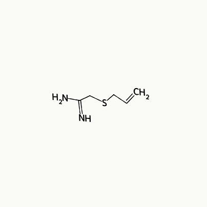 C=CCSCC(=N)N